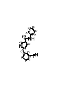 N#Cc1cccc(Oc2ccc(C(=O)Nc3cccnc3)cn2)c1